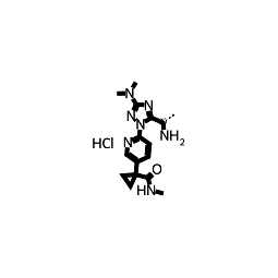 CNC(=O)C1(c2ccc(-n3nc(N(C)C)nc3[C@H](C)N)nc2)CC1.Cl